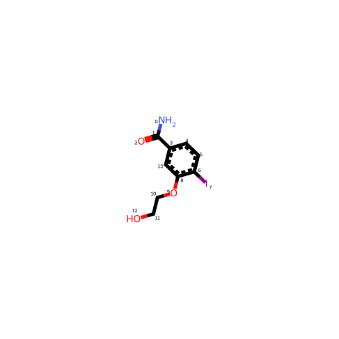 NC(=O)c1ccc(I)c(OCCO)c1